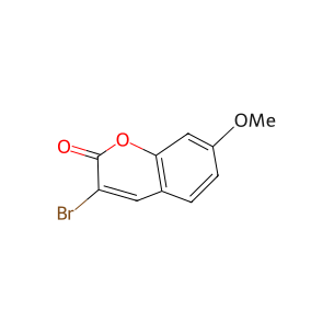 COc1ccc2cc(Br)c(=O)oc2c1